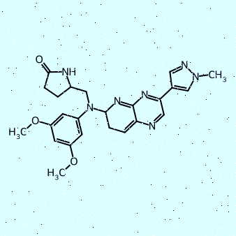 COc1cc(OC)cc(N(CC2CCC(=O)N2)C2CC=c3ncc(-c4cnn(C)c4)nc3=N2)c1